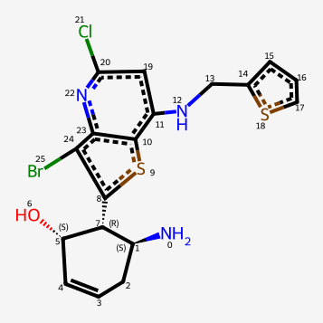 N[C@H]1CC=C[C@H](O)[C@@H]1c1sc2c(NCc3cccs3)cc(Cl)nc2c1Br